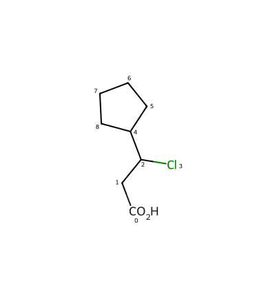 O=C(O)CC(Cl)C1CCCC1